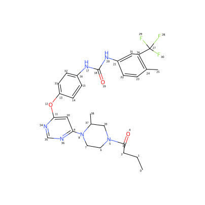 CCCC(=O)N1CCN(c2cc(Oc3ccc(NC(=O)Nc4ccc(C)c(C(F)(F)F)c4)cc3)ncn2)C(C)C1